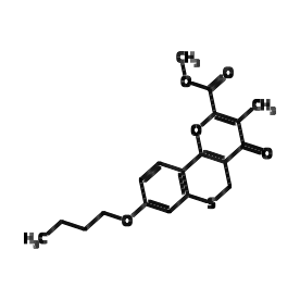 CCCCOc1ccc2c(c1)SCc1c-2oc(C(=O)OC)c(C)c1=O